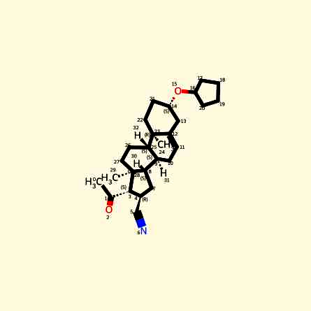 CC(=O)[C@H]1[C@H](C#N)C[C@H]2[C@@H]3CC=C4C[C@@H](OC5CCCC5)CC[C@]4(C)[C@H]3CC[C@@]21C